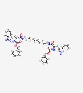 O=C(NC(Cc1c[nH]c2ccccc12)C(=O)NCCCCCCCCCCCNC(=O)C(Cc1c[nH]c2ccccc12)NC(=O)OCc1ccccc1)OCc1ccccc1